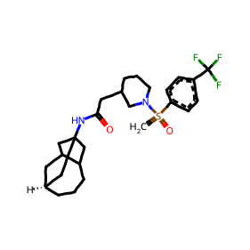 C=S(=O)(c1ccc(C(F)(F)F)cc1)N1CCCC(CC(=O)NC23CC4CCC[C@@H](CC4C2)C3)C1